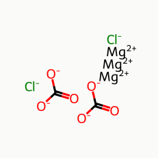 O=C([O-])[O-].O=C([O-])[O-].[Cl-].[Cl-].[Mg+2].[Mg+2].[Mg+2]